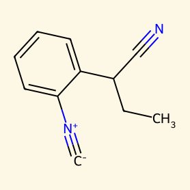 [C-]#[N+]c1ccccc1C(C#N)CC